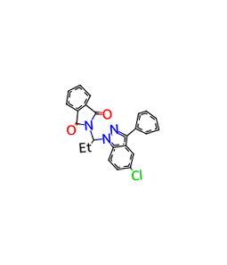 CCC(N1C(=O)c2ccccc2C1=O)n1nc(-c2ccccc2)c2cc(Cl)ccc21